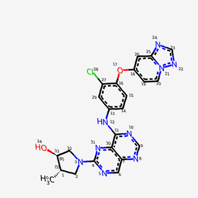 C[C@H]1CN(c2ncc3ncnc(Nc4ccc(Oc5ccn6ncnc6c5)c(Cl)c4)c3n2)C[C@@H]1O